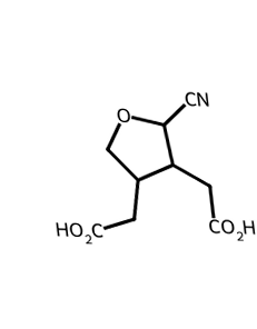 N#CC1OCC(CC(=O)O)C1CC(=O)O